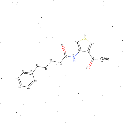 COC(=O)c1cscc1NC(=O)CCCCc1ccccc1